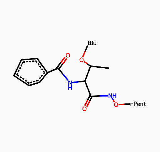 CCCCCONC(=O)C(NC(=O)c1ccccc1)C(C)OC(C)(C)C